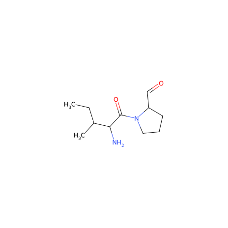 CCC(C)C(N)C(=O)N1CCCC1C=O